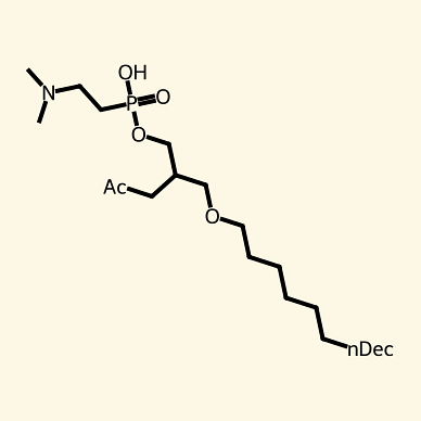 CCCCCCCCCCCCCCCCOCC(COP(=O)(O)CCN(C)C)CC(C)=O